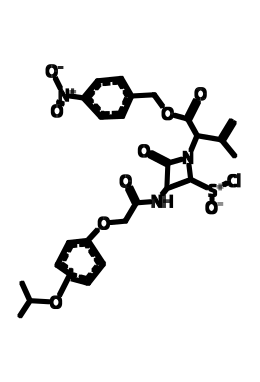 C=C(C)C(C(=O)OCc1ccc([N+](=O)[O-])cc1)N1C(=O)C(NC(=O)COc2ccc(OC(C)C)cc2)C1[S+]([O-])Cl